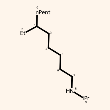 CCCCCC(CC)CCCCCNC(C)C